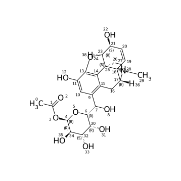 CC(=O)O[C@H]1O[C@H](C(O)c2cc(O)c3c4c2C[C@@H]2[C@@H]5C=C[C@H](O)[C@H](O3)[C@]45CCN2C)[C@H](O)[C@H](O)[C@H]1O